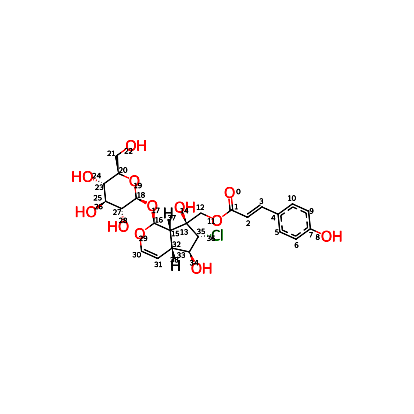 O=C(/C=C/c1ccc(O)cc1)OC[C@@]1(O)[C@H]2[C@H](O[C@@H]3O[C@H](CO)[C@@H](O)[C@H](O)[C@H]3O)OC=C[C@H]2[C@H](O)[C@H]1Cl